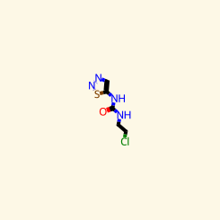 O=C(NCCCl)Nc1cnns1